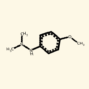 COc1ccc(NN(C)C)cc1